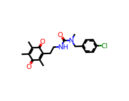 CC1=C(C)C(=O)C(CCNC(=O)N(C)Cc2ccc(Cl)cc2)=C(C)C1=O